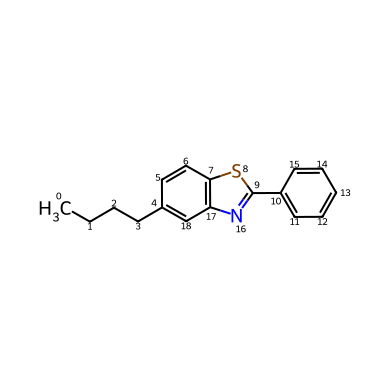 CCCCc1ccc2sc(-c3ccccc3)nc2c1